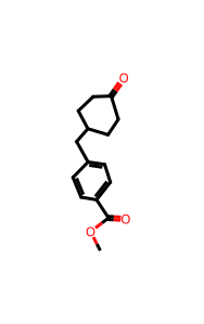 COC(=O)c1ccc(CC2CCC(=O)CC2)cc1